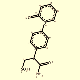 NC(=O)C(CS(=O)(=O)O)c1ccc(-n2ccccc2=O)cc1